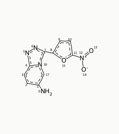 Nc1ccc2nnc(-c3ccc([N+](=O)[O-])o3)n2c1